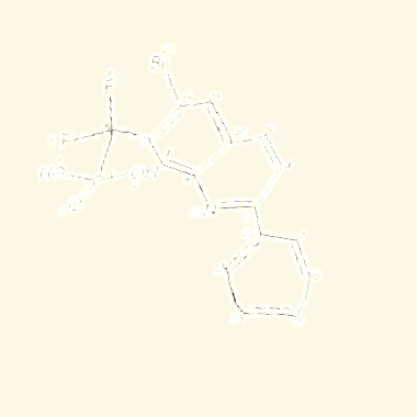 O=P(O)(O)C(F)(F)c1cc2nc(-c3ccccc3)ccc2cc1Br